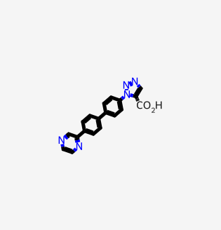 O=C(O)c1cnnn1-c1ccc(-c2ccc(-c3cnccn3)cc2)cc1